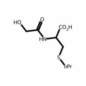 CCCSCC(NC(=O)CO)C(=O)O